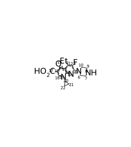 CCc1c(F)c(N2CCNCC2)nc2c1c(=O)c(C(=O)O)cn2C1CC1